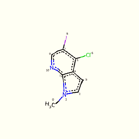 Cn1ccc2c(Cl)c(I)cnc21